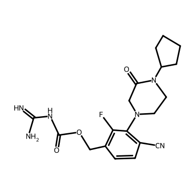 N#Cc1ccc(COC(=O)NC(=N)N)c(F)c1N1CCN(C2CCCC2)C(=O)C1